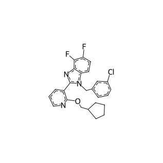 Fc1ccc2c(nc(-c3cccnc3OCC3CCCC3)n2Cc2cccc(Cl)c2)c1F